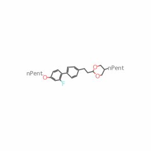 CCCCCOc1ccc(-c2ccc(CCC3OCC(CCCCC)CO3)cc2)c(F)c1